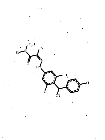 CCN(C(=O)O)C(=O)C(C#N)=NNc1cc(C)c(C(C#N)c2ccc(Cl)cc2)c(Cl)c1